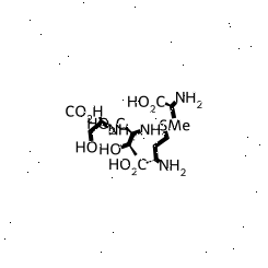 CSCC[C@H](N)C(=O)O.C[C@@H](O)[C@H](N)C(=O)O.C[C@H](N)C(=O)O.N[C@@H](CO)C(=O)O